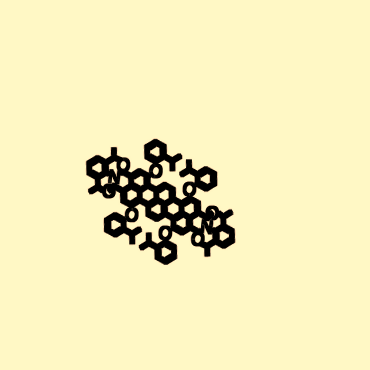 CC(C)c1ccccc1Oc1cc2c3c(cc(Oc4ccccc4C(C)C)c4c5ccc6c7c(Oc8ccccc8C(C)C)cc8c9c(cc(Oc%10ccccc%10C(C)C)c(c%10ccc(c1c34)c5c%106)c97)C(=O)N(c1c(C(C)C)cccc1C(C)C)C8=O)C(=O)N(c1c(C(C)C)cccc1C(C)C)C2=O